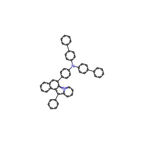 c1ccc(-c2ccc(N(c3ccc(-c4ccccc4)cc3)c3ccc(-c4cc5ccccc5c5c(-c6ccccc6)c6ccccn6c45)cc3)cc2)cc1